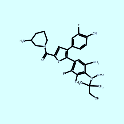 CNN(c1c(N)cc(-c2sc(C(=O)N3CCCC(N)C3)cc2-c2ccc(C#N)c(F)c2)c(F)c1F)C(C)(C)CO